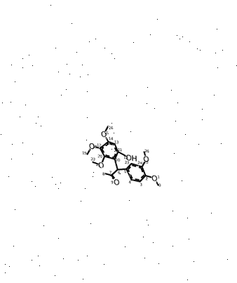 COc1ccc(C(C(C)=O)c2c(O)cc(OC)c(OC)c2OC)cc1OC